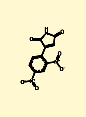 O=C1C=C(c2ccc([N+](=O)[O-])cc2[N+](=O)[O-])C(=O)N1